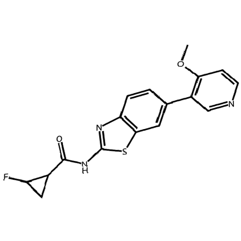 COc1ccncc1-c1ccc2nc(NC(=O)C3CC3F)sc2c1